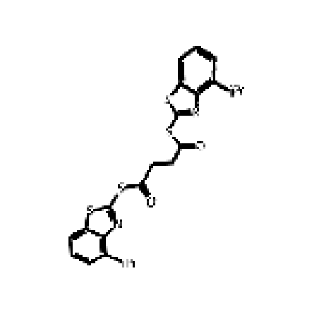 CC(C)c1cccc2sc(SC(=O)CCC(=O)Sc3nc4c(C(C)C)cccc4s3)nc12